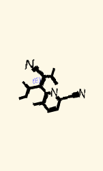 C=C(C)/C(C#N)=C(\c1nc(C#N)ccc1C)C(C)CC